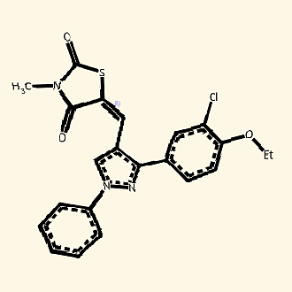 CCOc1ccc(-c2nn(-c3ccccc3)cc2/C=C2/SC(=O)N(C)C2=O)cc1Cl